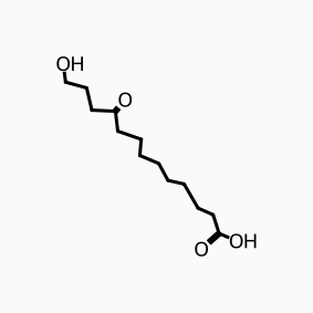 O=C(O)CCCCCCCCC(=O)CCCO